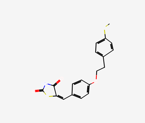 CSc1ccc(CCOc2ccc(C=C3SC(=O)NC3=O)cc2)cc1